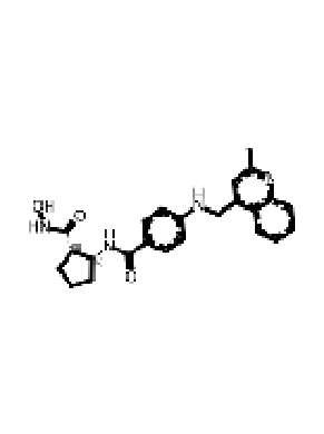 Cc1cc(CNc2ccc(C(=O)N[C@@H]3CCC[C@@H]3C(=O)NO)cc2)c2ccccc2n1